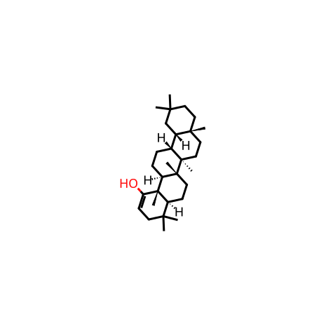 CC1(C)CC[C@]2(C)CC[C@]3(C)[C@H](CC[C@@H]4[C@@]5(C)C(O)=CCC(C)(C)[C@@H]5CC[C@]43C)[C@@H]2C1